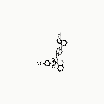 N#Cc1ccc(S(=O)(=O)N2c3ccccc3CCC2CN2CCN(c3cccc4[nH]ccc34)CC2)cc1